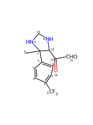 CC1(c2ccc(C(F)(F)F)cc2)NCNC1C(=O)C=O